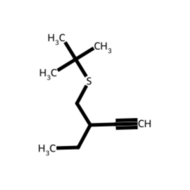 C#CC(CC)CSC(C)(C)C